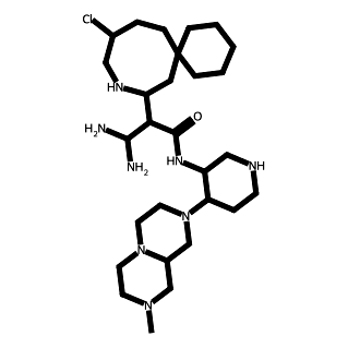 CN1CCN2CCN(C3CCNCC3NC(=O)C(C(N)N)C3CC4(CCCCC4)CCC(Cl)CN3)CC2C1